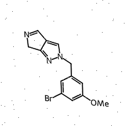 COc1cc(Br)cc(Cn2cc3c(n2)CN=C3)c1